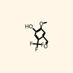 COc1cc(C=O)c(C(F)(F)F)cc1O